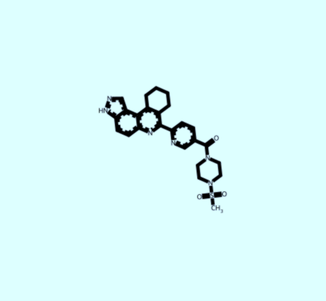 CS(=O)(=O)N1CCN(C(=O)c2ccc(-c3nc4ccc5[nH]ncc5c4c4c3CCCC4)nc2)CC1